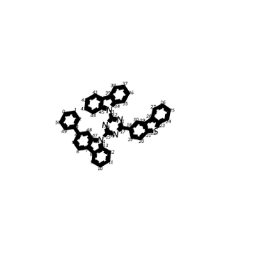 c1ccc(-c2ccc3c4ccccc4n(-c4nc(-c5ccc6sc7ccccc7c6c5)nc(-n5c6ccccc6c6ccccc65)n4)c3c2)cc1